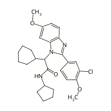 COc1ccc2nc(-c3ccc(OC)c(Cl)c3)n(C(C(=O)NC3CCCC3)C3CCCCC3)c2c1